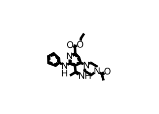 CCOC(=O)c1cc(N2CCN(C(C)=O)CC2)c(C(C)=N)c(Nc2ccccc2)n1